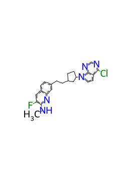 CNc1nc2cc(CCC3CCC(n4ccc5c(Cl)ncnc54)C3)ccc2cc1F